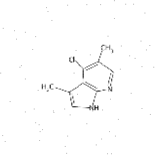 Cc1cnc2[nH]cc(C)c2c1Cl